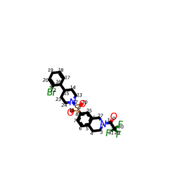 O=C(N1CCc2ccc(S(=O)(=O)N3CCC(C4C=CCC=C4Br)CC3)cc2C1)C(F)(F)F